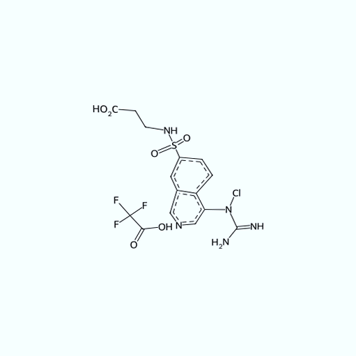 N=C(N)N(Cl)c1cncc2cc(S(=O)(=O)NCCC(=O)O)ccc12.O=C(O)C(F)(F)F